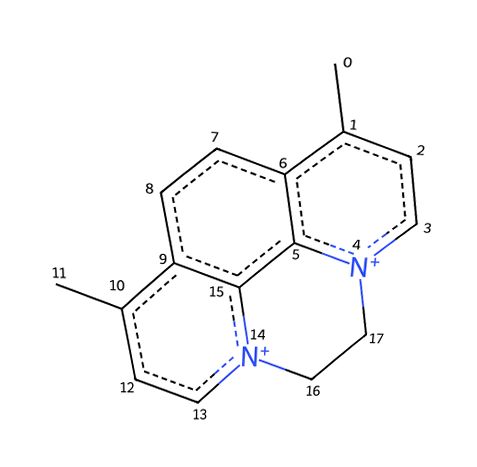 Cc1cc[n+]2c3c1ccc1c(C)cc[n+](c13)CC2